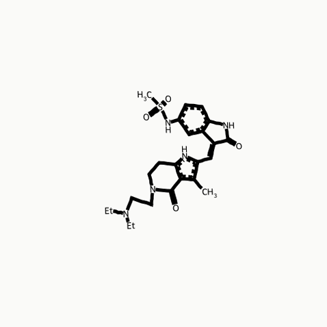 CCN(CC)CCN1CCc2[nH]c(/C=C3/C(=O)Nc4ccc(NS(C)(=O)=O)cc43)c(C)c2C1=O